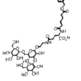 O=C(CC[C@H](NC(=O)CCCCC(=O)OCc1ccccc1)C(=O)O)NCCO[C@H]1O[C@H](CO[C@H]2O[C@H](CO)[C@@H](O)[C@H](O)[C@@H]2O)[C@@H](O)[C@H](O[C@H]2O[C@H](CO)[C@@H](O)[C@H](O)[C@@H]2O)[C@@H]1O